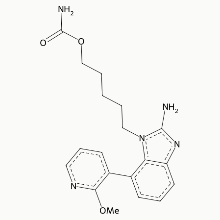 COc1ncccc1-c1cccc2nc(N)n(CCCCCOC(N)=O)c12